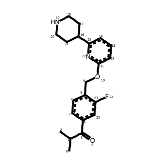 CC(C)C(=O)c1ccc(COc2cccc(C3CCNCC3)n2)c(F)c1